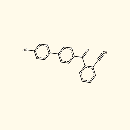 C#Cc1ccccc1C(=O)c1ccc(-c2ccc(O)cc2)cc1